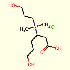 C[N+](C)(CCCO)C(CCCO)CC(=O)O.[Cl-]